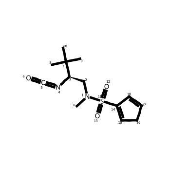 CN(C[C@@H](N=C=O)C(C)(C)C)S(=O)(=O)C1=CCC=C1